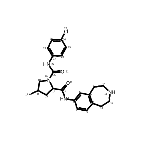 O=C(Nc1ccc2c(c1)CCNCC2)C1CC(F)CN1C(=O)Nc1ccc(Cl)cc1